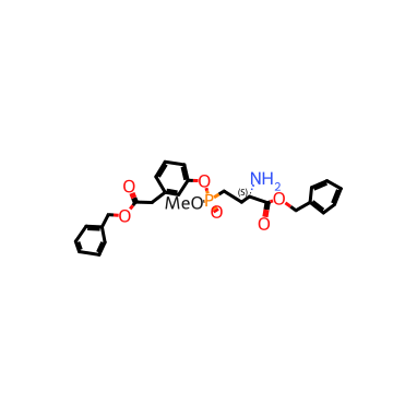 COP(=O)(CC[C@H](N)C(=O)OCc1ccccc1)Oc1cccc(CC(=O)OCc2ccccc2)c1